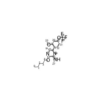 CCCCCOc1nc(C)c(-c2ccc(OC(F)(F)F)cc2OC)nc1NC